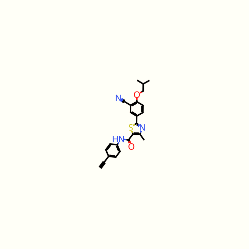 C#Cc1ccc(NC(=O)c2sc(-c3ccc(OCC(C)C)c(C#N)c3)nc2C)cc1